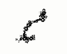 COc1cc2ncnc(Nc3ccc(F)c(Cl)c3)c2cc1NC(=O)/C=C/CN1CCC(N2CCN(C(=O)COCCOCCSc3cccc4c3C(=O)N(C3CCC(=O)NC3=O)C4=O)CC2)CC1